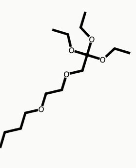 CCCCOCCOCC(OCC)(OCC)OCC